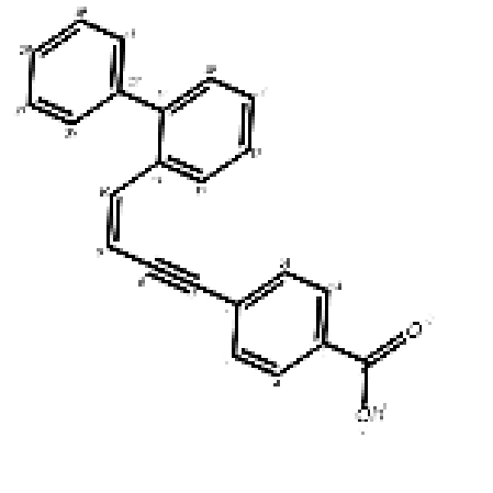 O=C(O)c1ccc(C#C/C=C\c2ccccc2-c2ccccc2)cc1